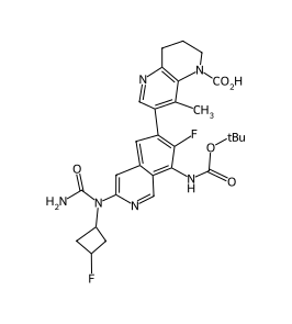 Cc1c(-c2cc3cc(N(C(N)=O)C4CC(F)C4)ncc3c(NC(=O)OC(C)(C)C)c2F)cnc2c1N(C(=O)O)CCC2